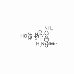 CNC1(C(N)=O)CCN(c2ccc(N)cc2NC(=O)c2csc(-c3cnc(O)nc3)n2)CC1